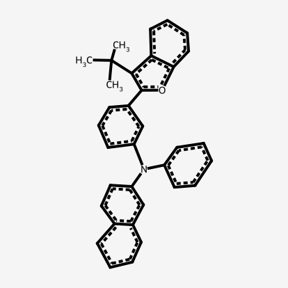 CC(C)(C)c1c(-c2cccc(N(c3ccccc3)c3ccc4ccccc4c3)c2)oc2ccccc12